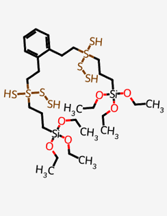 CCO[Si](CCCS(S)(CCc1ccccc1CCS(S)(CCC[Si](OCC)(OCC)OCC)SS)SS)(OCC)OCC